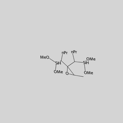 CCCC([SiH](OC)OC)C1(C(CCC)[SiH](OC)OC)OC1C